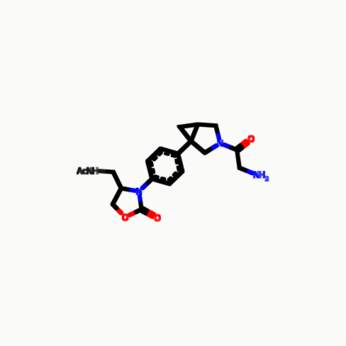 CC(=O)NCC1COC(=O)N1c1ccc(C23CC2CN(C(=O)CN)C3)cc1